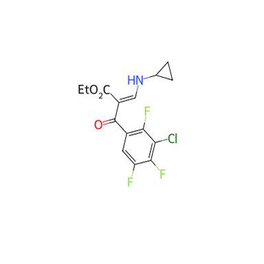 CCOC(=O)C(=CNC1CC1)C(=O)c1cc(F)c(F)c(Cl)c1F